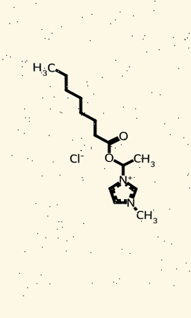 CCCCCCCC(=O)OC(C)[n+]1ccn(C)c1.[Cl-]